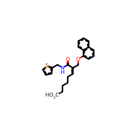 O=C(O)CCCCC=C(COc1cccc2ccccc12)C(=O)NCc1cccs1